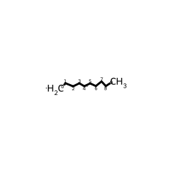 [CH2]CCC[CH]CCCCC